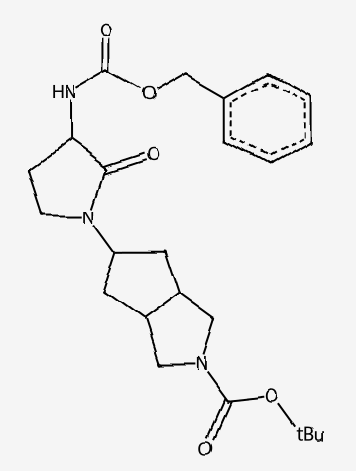 CC(C)(C)OC(=O)N1CC2CC(N3CCC(NC(=O)OCc4ccccc4)C3=O)CC2C1